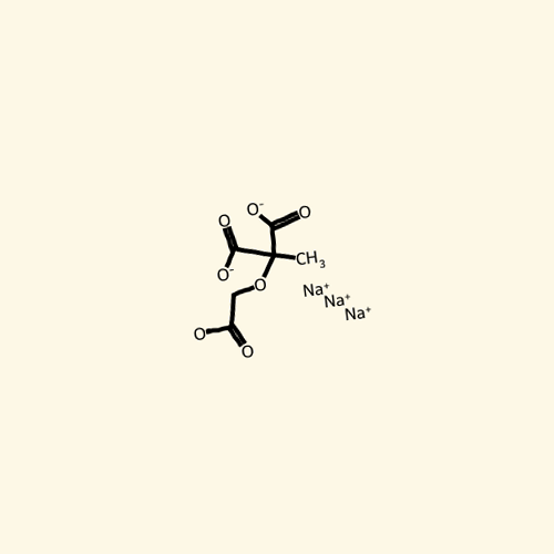 CC(OCC(=O)[O-])(C(=O)[O-])C(=O)[O-].[Na+].[Na+].[Na+]